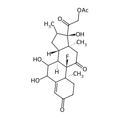 CC(=O)OCC(=O)[C@@]1(O)C(C)C[C@H]2[C@@H]3C(O)C(O)C4=CC(=O)CC[C@]4(C)[C@@]3(F)C(=O)C[C@@]21C